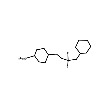 CCCCCC1CCC(CCC(F)(F)CC2CCCCC2)CC1